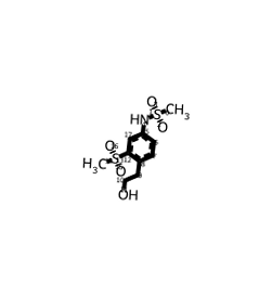 CS(=O)(=O)Nc1ccc(CCO)c(S(C)(=O)=O)c1